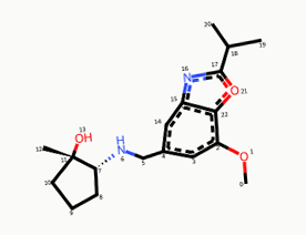 COc1cc(CN[C@@H]2CCC[C@]2(C)O)cc2nc(C(C)C)oc12